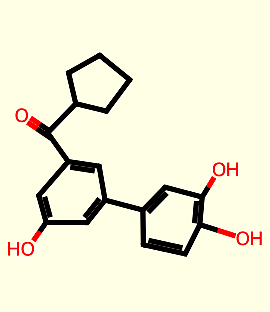 O=C(c1cc(O)cc(-c2ccc(O)c(O)c2)c1)C1CCCC1